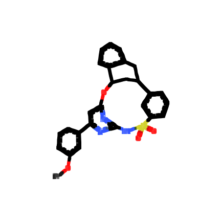 CC(C)Oc1cccc(-c2cc3nc(n2)NS(=O)(=O)c2cccc(c2)C2Cc4ccccc4C(C2)O3)c1